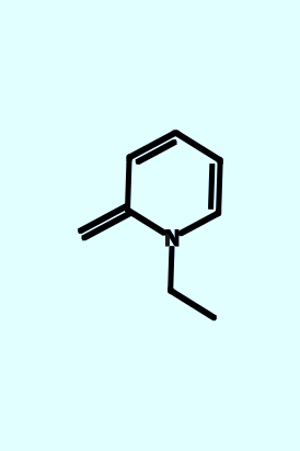 C=C1C=CC=CN1CC